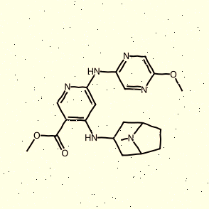 COC(=O)c1cnc(Nc2cnc(OC)cn2)cc1NC1CC2CCC(C1)N2C